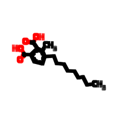 CCCCCCCCCc1ccc(C(=O)O)c(C(=O)O)c1C